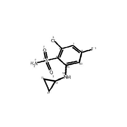 NS(=O)(=O)c1c(Cl)cc(F)cc1NC1CC1